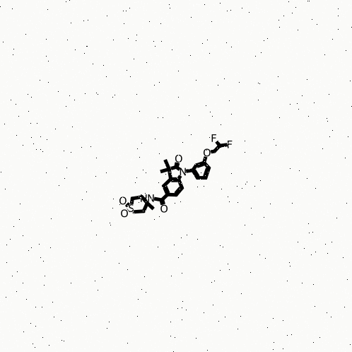 CC1(NC(=O)c2ccc3c(c2)C(C)(C)C(=O)N3c2cccc(OCC(F)F)c2)CCS(=O)(=O)CC1